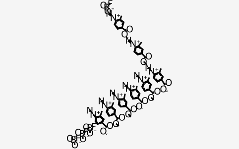 COC(=O)c1ccc([N+]#N)c(C)c1.COC(=O)c1ccc([N+]#N)c(C)c1.COC(=O)c1ccc([N+]#N)c(C)c1.COC(=O)c1ccc([N+]#N)c(C)c1.COC(=O)c1ccc([N+]#N)c(C)c1.COC(=O)c1ccc([N+]#N)c(C)c1.COC(=O)c1ccc([N+]#N)c(C)c1.COC(=O)c1ccc([N+]#N)c(C)c1.[O-]B([O-])F.[O-]B([O-])F.[O-]B([O-])F.[O-]B([O-])F